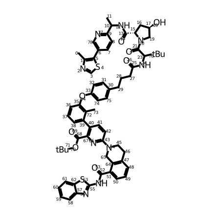 Cc1ncsc1-c1ccc(C(C)NC(=O)[C@@H]2C[C@@H](O)CN2C(=O)C(NC(=O)CCCc2ccc(Oc3cccc(-c4ccc(N5CCc6cccc(C(=O)Nc7nc8ccccc8s7)c6C5)nc4C(=O)OC(C)(C)C)c3C)cc2)C(C)(C)C)nc1